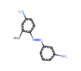 COc1cc(N)ccc1/N=N/c1cccc(N)c1